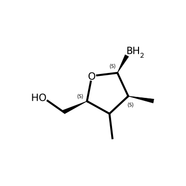 B[C@@H]1O[C@H](CO)C(C)[C@@H]1C